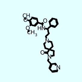 COc1ccc(C(=O)NC(CCN2CCC3(CC2)CCN(Cc2cccnc2)C3=O)c2ccccc2)cc1OC